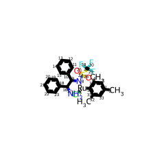 Cc1cc(C)[c]([Ru]([Cl])[N](C(c2ccccc2)C(N)c2ccccc2)S(=O)(=O)C(F)(F)F)c(C)c1